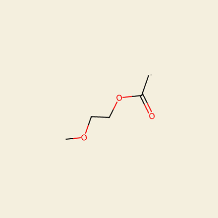 [CH2]C(=O)OCCOC